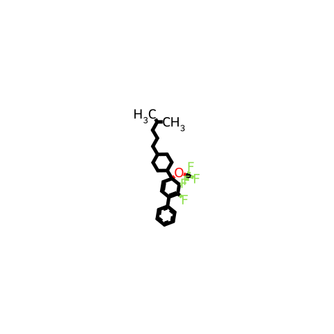 CC(C)CCCC1CCC(C2(OC(F)(F)F)C=CC(c3ccccc3)=C(F)C2F)CC1